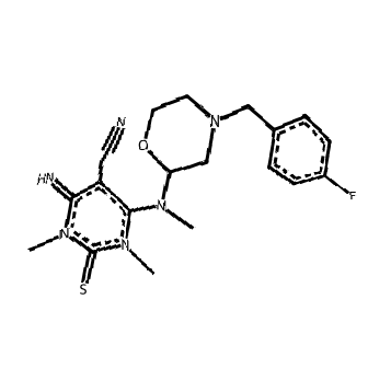 CN(c1c(C#N)c(=N)n(C)c(=S)n1C)C1CN(Cc2ccc(F)cc2)CCO1